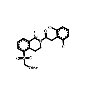 COCS(=O)(=O)c1cccc2c1CCN(C(=O)Cc1c(Cl)cccc1Cl)[C@H]2C